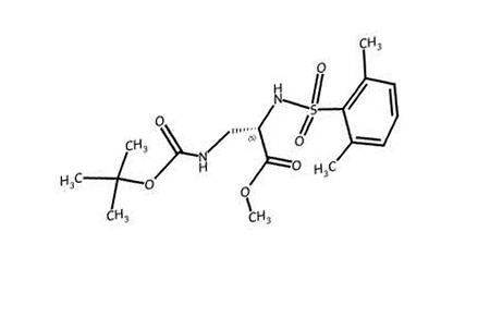 COC(=O)[C@H](CNC(=O)OC(C)(C)C)NS(=O)(=O)c1c(C)cccc1C